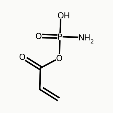 C=CC(=O)OP(N)(=O)O